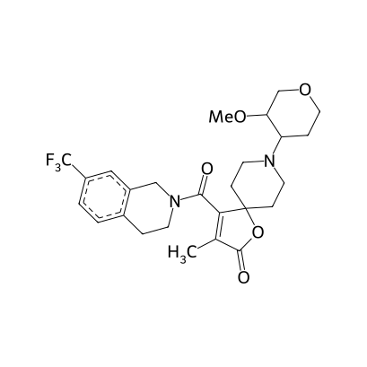 COC1COCCC1N1CCC2(CC1)OC(=O)C(C)=C2C(=O)N1CCc2ccc(C(F)(F)F)cc2C1